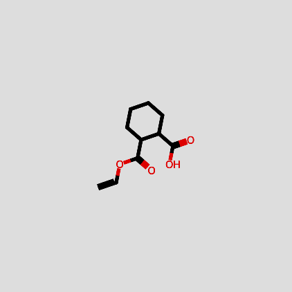 C=COC(=O)C1CCCCC1C(=O)O